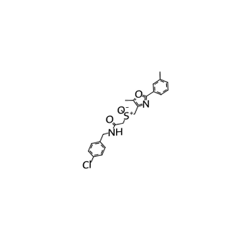 Cc1cccc(-c2nc(C[S+]([O-])CC(=O)NCc3ccc(Cl)cc3)c(C)o2)c1